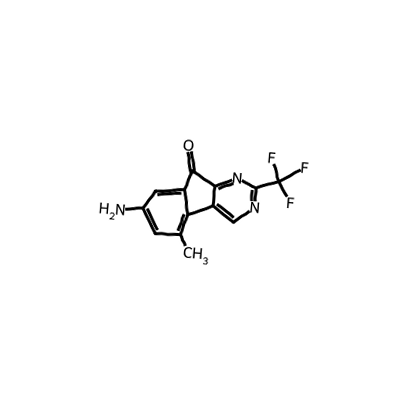 Cc1cc(N)cc2c1-c1cnc(C(F)(F)F)nc1C2=O